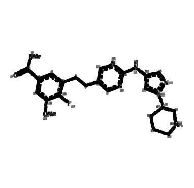 CNC(=O)c1cc(CCc2cnc(Nc3cnn([C@@H]4CCCNC4)c3)nc2)c(F)c(OC)c1